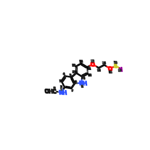 O=CNc1ccc2c(c1)[nH]c1cc(OCCOSI)ccc12